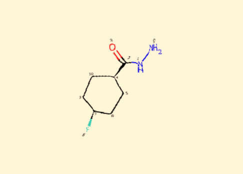 NNC(=O)[C@H]1CC[C@@H](F)CC1